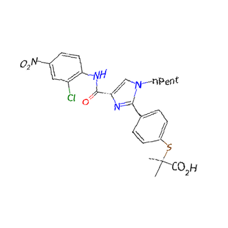 CCCCCn1cc(C(=O)Nc2ccc([N+](=O)[O-])cc2Cl)nc1-c1ccc(SC(C)(C)C(=O)O)cc1